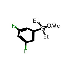 CC[Si](CC)(OC)c1cc(F)cc(F)c1